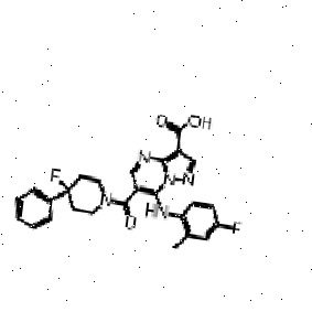 Cc1cc(F)ccc1Nc1c(C(=O)N2CCC(F)(c3ccccc3)CC2)cnc2c(C(=O)O)cnn12